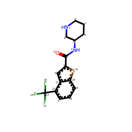 O=C(N[C@@H]1CCCNC1)c1cc2c(C(F)(F)F)cccc2s1